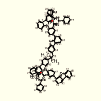 CC(C)(C)c1ccc2c(c1)c1ccccc1n2-c1ccc(-c2cccc3c2sc2ccc(CC(C)(C)c4ccc5c6ccc(C(C)(C)C)cc6n(-c6ccc(-c7cccc8c7sc7ccccc78)cc6-c6nc(-c7ccccc7)nc(-c7ccccc7)n6)c5c4)cc23)cc1-c1nc(-c2ccccc2)nc(-c2ccccc2)n1